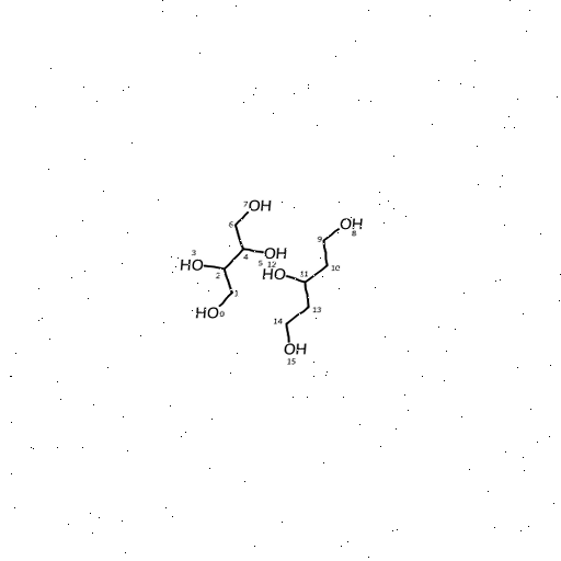 OCC(O)C(O)CO.OCCC(O)CCO